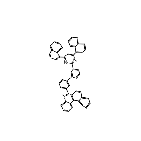 c1cc(-c2cccc(-c3nc4ccccc4c4c3ccc3ccccc34)c2)cc(-c2nc(-c3cccc4ccccc34)cc(-c3cccc4ccccc34)n2)c1